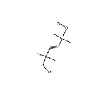 CCO[Si](C)(C)C=C[Si](C)(C)OCC